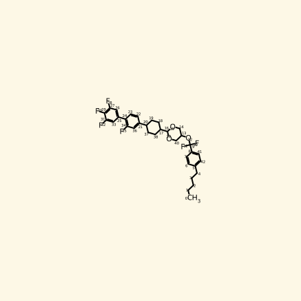 CCCCCc1ccc(C(F)(F)OC2COC(C3CCC(c4ccc(-c5cc(F)c(F)c(F)c5)c(F)c4)CC3)OC2)cc1